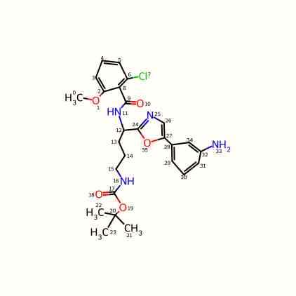 COc1cccc(Cl)c1C(=O)NC(CCCNC(=O)OC(C)(C)C)c1ncc(-c2cccc(N)c2)o1